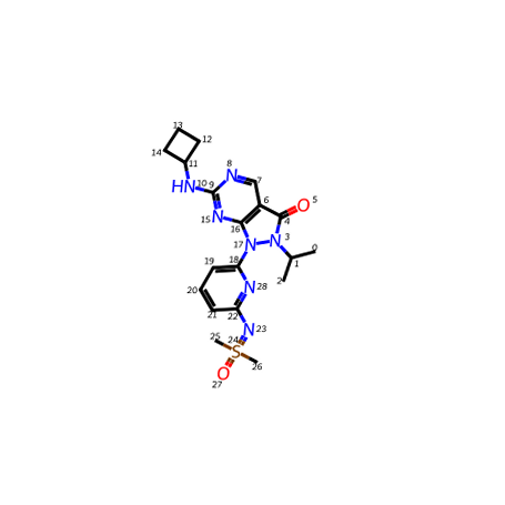 CC(C)n1c(=O)c2cnc(NC3CCC3)nc2n1-c1cccc(N=S(C)(C)=O)n1